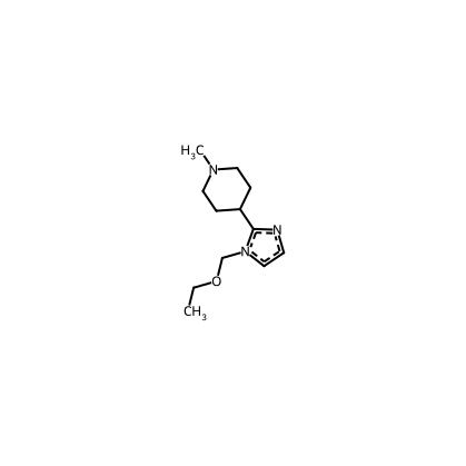 CCOCn1ccnc1C1CCN(C)CC1